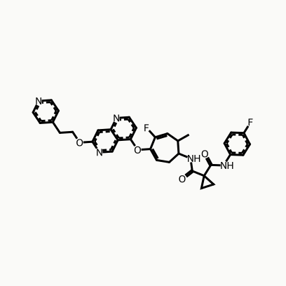 CC1C=C(F)C(Oc2ccnc3cc(OCCc4ccncc4)ncc23)=CCC1NC(=O)C1(C(=O)Nc2ccc(F)cc2)CC1